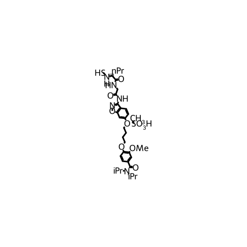 CCC[C@H](NS)C(=O)NCC(=O)Nc1noc2cc(OCCCCOc3ccc(C(=O)N(C(C)C)C(C)C)cc3OC)ccc12.CS(=O)(=O)O